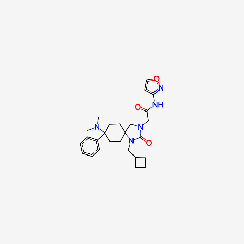 CN(C)C1(c2ccccc2)CCC2(CC1)CN(CC(=O)Nc1ccon1)C(=O)N2CC1CCC1